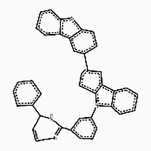 C1=CC(c2ccccc2)NC(c2cccc(-n3c4ccccc4c4cc(-c5ccc6sc7ccccc7c6c5)ccc43)c2)=N1